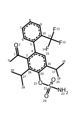 CC(=O)c1c(-c2ccccc2C(F)(F)F)cc(C(C)C)c(OS(N)(=O)=O)c1C(C)C